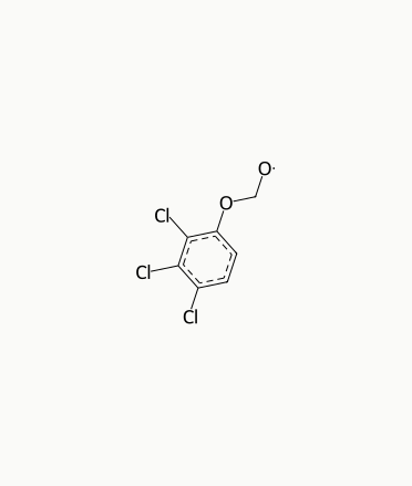 [O]COc1ccc(Cl)c(Cl)c1Cl